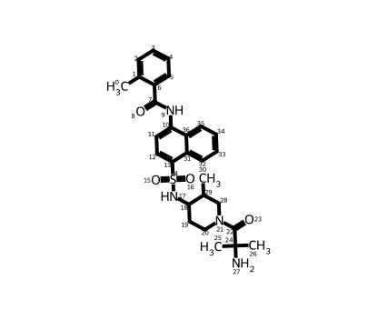 Cc1ccccc1C(=O)Nc1ccc(S(=O)(=O)NC2CCN(C(=O)C(C)(C)N)CC2C)c2ccccc12